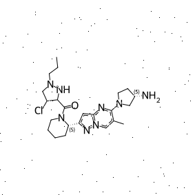 CCCN1CC(Cl)C(C(=O)N2CCCC[C@H]2c2cc3nc(N4CC[C@H](N)C4)c(C)cn3n2)N1